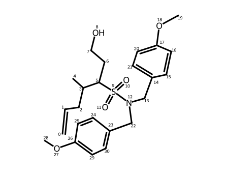 C=CCC(C)C(CCO)S(=O)(=O)N(Cc1ccc(OC)cc1)Cc1ccc(OC)cc1